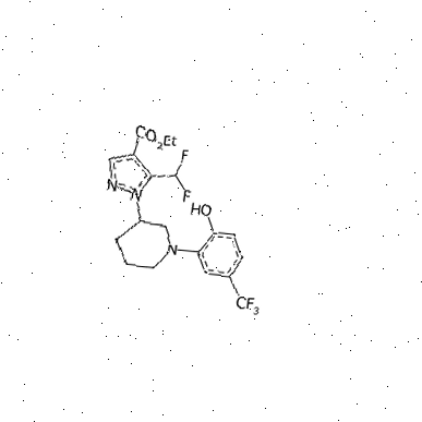 CCOC(=O)c1cnn(C2CCCN(c3cc(C(F)(F)F)ccc3O)C2)c1C(F)F